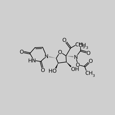 CC(=O)ON(C(C)=O)[C@@]1(C(C)=O)O[C@@H](n2ccc(=O)[nH]c2=O)[C@H](O)[C@@H]1O